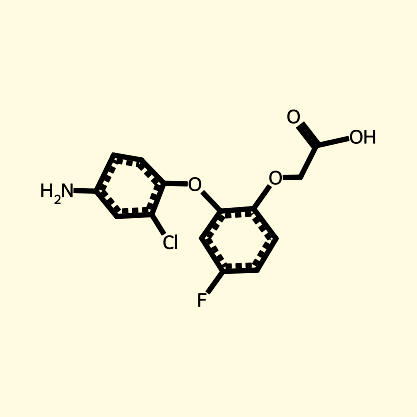 Nc1ccc(Oc2cc(F)ccc2OCC(=O)O)c(Cl)c1